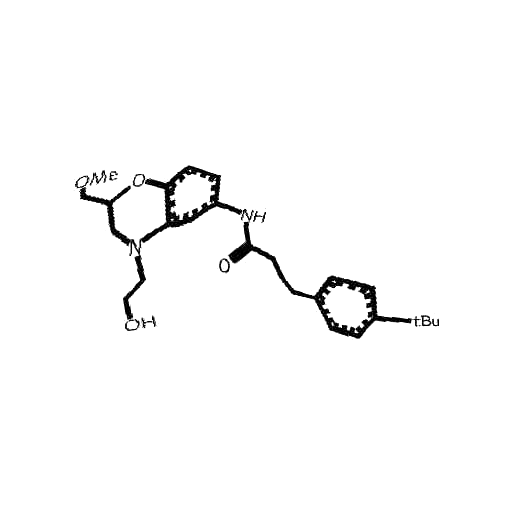 COCC1CN(CCO)c2cc(NC(=O)CCc3ccc(C(C)(C)C)cc3)ccc2O1